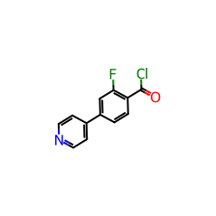 O=C(Cl)c1ccc(-c2ccncc2)cc1F